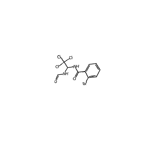 O=CNC(NC(=O)c1ccccc1Br)C(Cl)(Cl)Cl